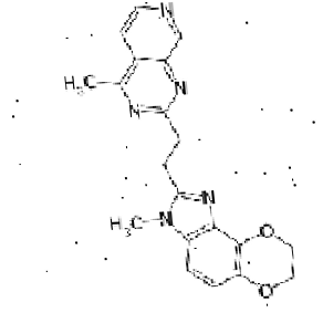 Cc1nc(CCc2nc3c4c(ccc3n2C)OCCO4)nc2cnccc12